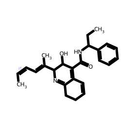 C/C=C\C=C(C)C1N=C2CCC=CC2=C(C(=O)NC(CC)c2ccccc2)C1O